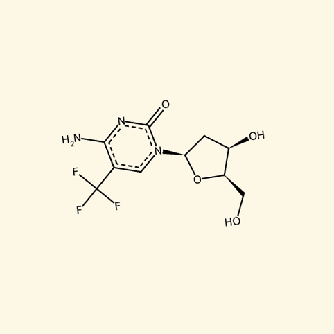 Nc1nc(=O)n([C@H]2C[C@@H](O)[C@@H](CO)O2)cc1C(F)(F)F